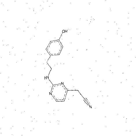 N#CCc1ccnc(NCCc2ccc(O)cc2)n1